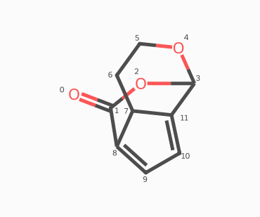 O=C1OC2OCCC3C1=CC=C23